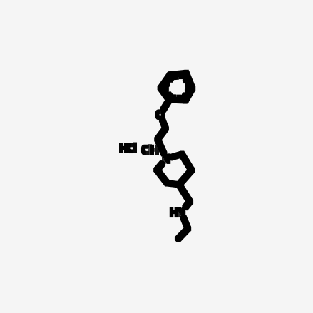 CCNCC1CCN(CCOc2ccccc2)CC1.Cl.Cl